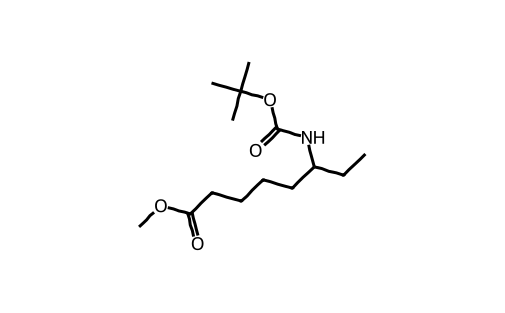 CCC(CCCCC(=O)OC)NC(=O)OC(C)(C)C